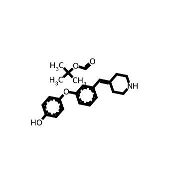 CC(C)(C)OC=O.Oc1ccc(Oc2cccc(C=C3CCNCC3)c2)cc1